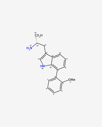 COc1ccccc1-c1cccc2c(C[C@H](N)C(=O)O)c[nH]c12